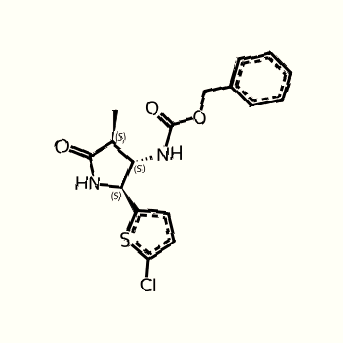 C[C@@H]1C(=O)N[C@H](c2ccc(Cl)s2)[C@H]1NC(=O)OCc1ccccc1